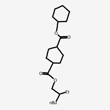 CCCCC(CC)COC(=O)C1CCC(C(=O)OC2CCCCC2)CC1